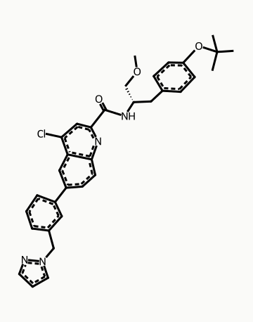 COC[C@H](Cc1ccc(OC(C)(C)C)cc1)NC(=O)c1cc(Cl)c2cc(-c3cccc(Cn4cccn4)c3)ccc2n1